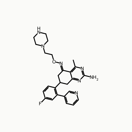 Cc1nc(N)nc2c1C(=NOCCN1CCNCC1)CC(c1ccc(F)cc1-c1cccnc1)C2